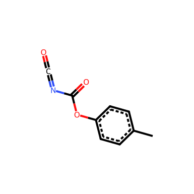 Cc1ccc(OC(=O)N=C=O)cc1